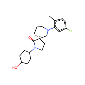 Cc1ccc(F)cc1N1CCC[C@@]2(CCN(C3CCC(O)CC3)C2=O)C1